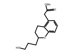 COC(=O)Cc1cccc2c1CCC(CCCO)O2